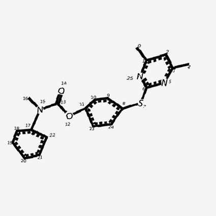 Cc1cc(C)nc(Sc2ccc(OC(=O)N(C)c3ccccc3)cc2)n1